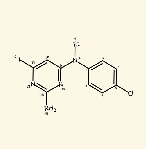 CCN(c1ccc(Cl)cc1)c1cc(I)nc(N)n1